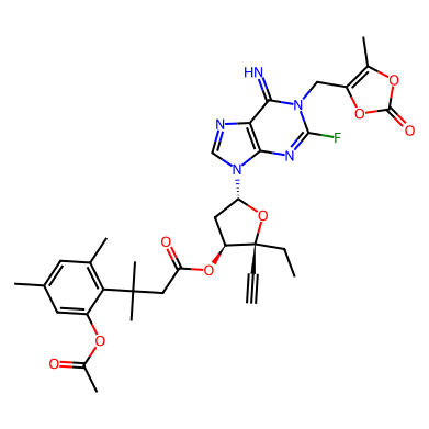 C#C[C@]1(CC)O[C@@H](n2cnc3c(=N)n(Cc4oc(=O)oc4C)c(F)nc32)C[C@@H]1OC(=O)CC(C)(C)c1c(C)cc(C)cc1OC(C)=O